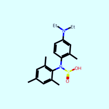 CCN(CC)c1ccc(N(c2c(C)cc(C)cc2C)S(=O)O)c(C)c1